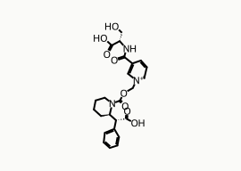 O=C(N[C@@H](CO)C(=O)O)c1ccc[n+](COC(=O)N2CCCC[C@@H]2[C@H](C(=O)O)c2ccccc2)c1